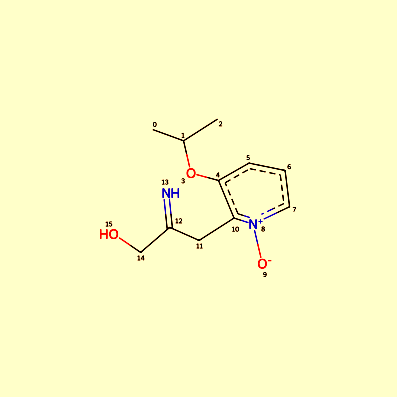 CC(C)Oc1ccc[n+]([O-])c1CC(=N)CO